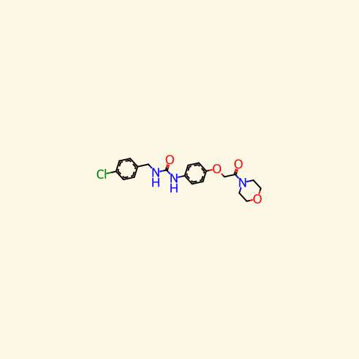 O=C(NCc1ccc(Cl)cc1)Nc1ccc(OCC(=O)N2CCOCC2)cc1